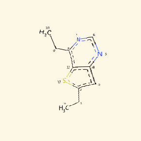 CCc1cc2ncnc(CC)c2s1